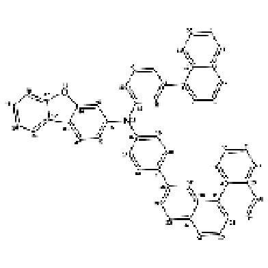 c1cc(-c2cccc3ccccc23)cc(N(c2ccc(-c3ccc4ccc5ccc6ccccc6c5c4c3)cc2)c2ccc3c(c2)oc2ccccc23)c1